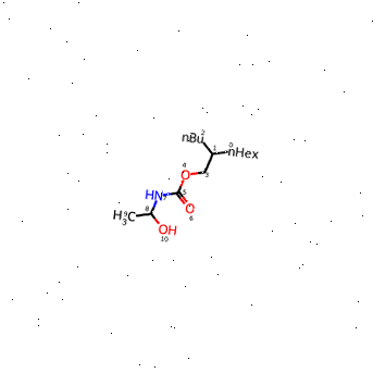 CCCCCCC(CCCC)COC(=O)NC(C)O